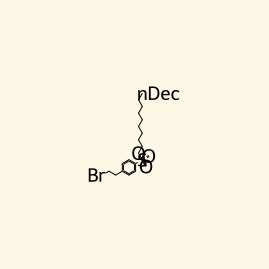 CCCCCCCCCCCCCCCCCCOS(=O)(=O)c1ccc(CCBr)cc1